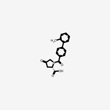 Cc1ccccc1-c1ccc(C(=O)N2CC(=O)C[C@H]2C(=O)O)cc1